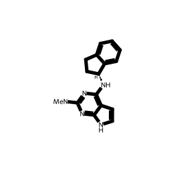 CNc1nc(N[C@@H]2CCc3ccccc32)c2cc[nH]c2n1